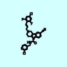 N#Cc1ccc2c(c1)c1c(n2C(=O)NCc2ccnc(Cl)c2)CCN(CC=Cc2c(F)cc(Cl)cc2F)C1